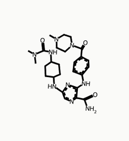 CN1CCN(C(=O)c2ccc(Nc3nc(NC4CCC(NC(=O)N(C)C)CC4)cnc3C(N)=O)cc2)CC1